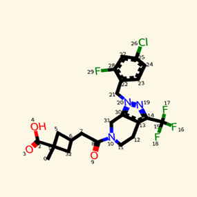 CC1(C(=O)O)CC(CC(=O)N2CCc3c(C(F)(F)F)nn(Cc4ccc(Cl)cc4F)c3C2)C1